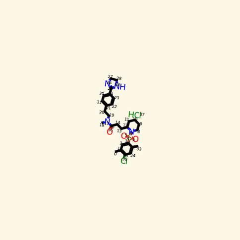 Cc1cc(S(=O)(=O)N2CCCCC2CCC(=O)N(C)CCc2ccc(C3=NCCN3)cc2)c(C)cc1Cl.Cl